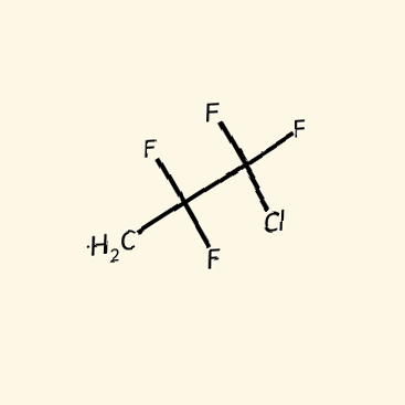 [CH2]C(F)(F)C(F)(F)Cl